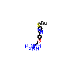 CCCCSc1ccc2nc(-c3ccc(OCCCNC(=N)N)cc3)cn2c1